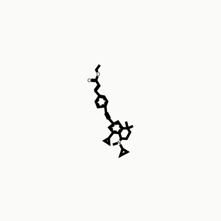 CCOC(=O)C=Cc1ccc(C#Cc2cc(C3CC3)c3c(c2)C(C)(C)CCC3N(C)C2CC2)cc1